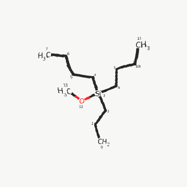 [CH2]CC[Si](CCCC)(CCCC)OC